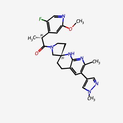 COc1cc([C@@H](C)C(=O)N2CC[C@@]3(CCc4cc(-c5cnn(C)c5)c(C)nc4N3)C2)c(F)cn1